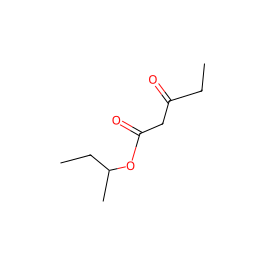 CCC(=O)CC(=O)OC(C)CC